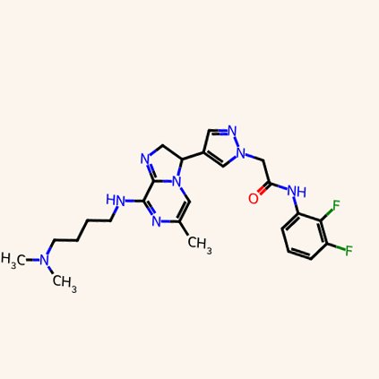 CC1=CN2C(=NCC2c2cnn(CC(=O)Nc3cccc(F)c3F)c2)C(NCCCCN(C)C)=N1